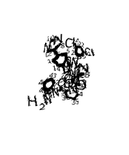 C[C@@]1(Cc2ccc(-c3cncnc3)cc2)C(=O)N(c2cc(Cl)cc(Cl)c2)c2ncc(S(=O)(=O)N3CCC[C@H]3C(=O)Nc3ccccc3N)n21